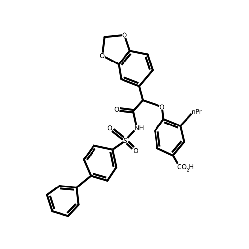 CCCc1cc(C(=O)O)ccc1OC(C(=O)NS(=O)(=O)c1ccc(-c2ccccc2)cc1)c1ccc2c(c1)OCO2